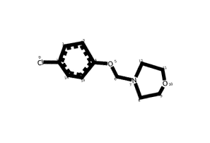 Clc1ccc(OCN2CCOCC2)cc1